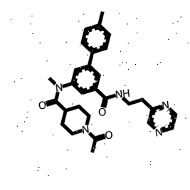 CC(=O)N1CCC(C(=O)N(C)c2cc(C(=O)NCCc3cnccn3)cc(-c3ccc(C)cc3)c2)CC1